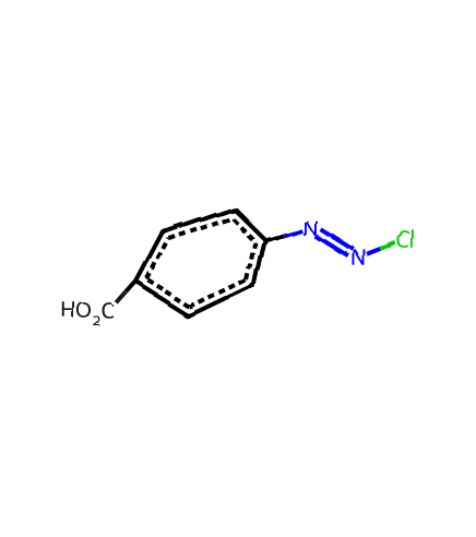 O=C(O)c1ccc(/N=N/Cl)cc1